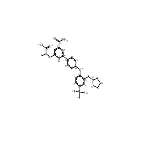 CC(Oc1cc(C(N)=O)nc(-c2ccc(Oc3ccc(C(F)(F)F)cc3CN3CCCC3)cc2)n1)C(=O)O